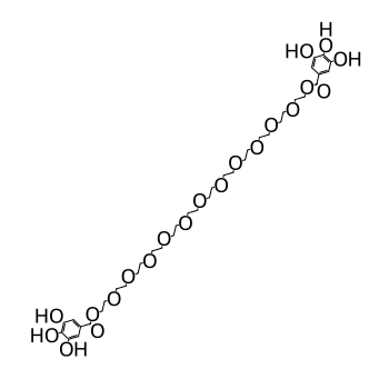 O=C(OCCOCCOCCOCCOCCOCCOCCOCCOCCOCCOCCOCCOC(=O)c1cc(O)c(O)c(O)c1)c1cc(O)c(O)c(O)c1